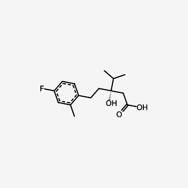 Cc1cc(F)ccc1CC[C@](O)(CC(=O)O)C(C)C